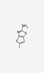 Cc1cc2sc(N)nc2s1